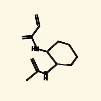 C=CC(=C)NC1CCCCC1NC(=C)C